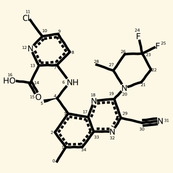 Cc1cc([C@@H](C)Nc2ccc(Cl)nc2C(=O)O)c2nc(N3CCC(F)(F)CC3C)c(C#N)nc2c1